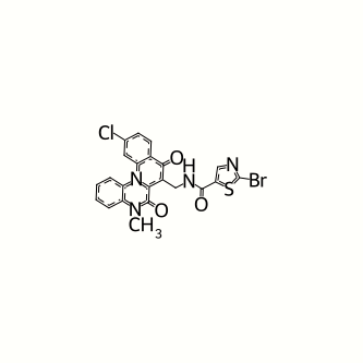 Cn1c(=O)c2c(CNC(=O)c3cnc(Br)s3)c(=O)c3ccc(Cl)cc3n2c2ccccc21